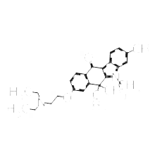 CCN(CC)CCOc1ccc2c(c1)C(C)(C)c1c(c3ccc(C)cc3n1C)C2=O